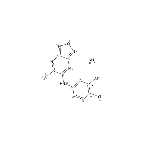 Cc1nc2nonc2nc1Nc1ccc(Cl)c(Cl)c1.N